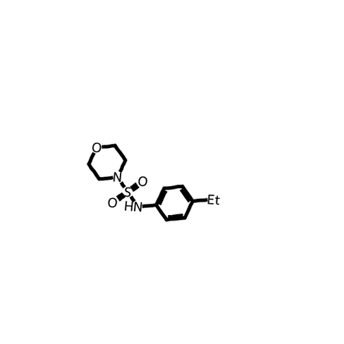 CCc1ccc(NS(=O)(=O)N2CCOCC2)cc1